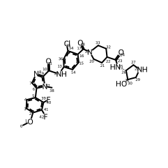 COc1ccc(-c2cnc(C(=O)Nc3ccc(C(=O)N4CCC(C(=O)N[C@@H]5CNC[C@H]5O)CC4)c(Cl)c3)n2C)c(F)c1F